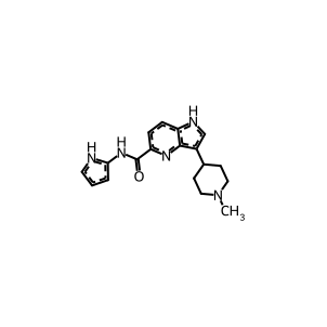 CN1CCC(c2c[nH]c3ccc(C(=O)Nc4ccc[nH]4)nc23)CC1